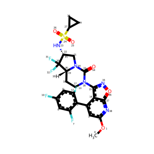 COc1cc(-c2c(F)cc(F)cc2F)c2c(N3CC[C@H]4N(C[C@@H](NS(=O)(=O)C5CC5)C4(F)F)C3=O)noc2n1